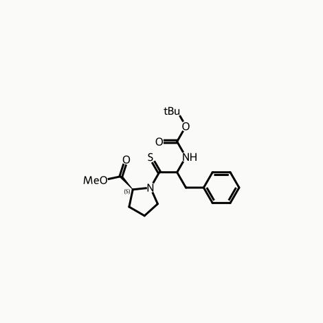 COC(=O)[C@@H]1CCCN1C(=S)C(Cc1ccccc1)NC(=O)OC(C)(C)C